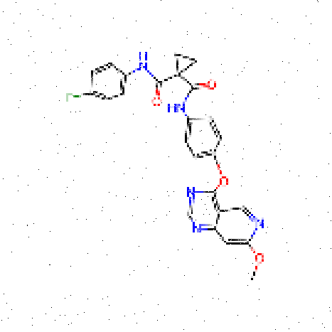 COc1cc2ncnc(Oc3ccc(NC(=O)C4(C(=O)Nc5ccc(F)cc5)CC4)cc3)c2cn1